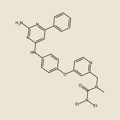 CCN(CC)C(=O)N(C)Cc1cc(Oc2ccc(Nc3cc(-c4ccccc4)nc(N)n3)cc2)ccn1